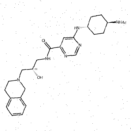 CC(=O)N[C@H]1CC[C@H](Nc2cc(C(=O)NC[C@H](O)CN3CCc4ccccc4C3)ncn2)CC1